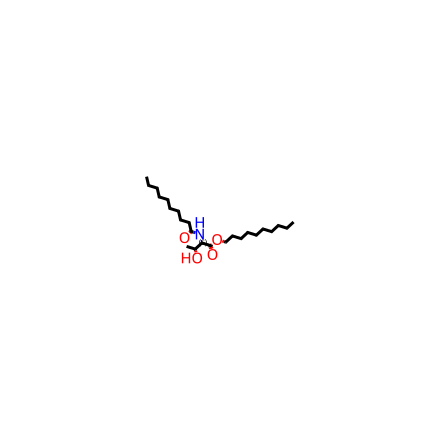 CCCCCCCCCCOC(=O)[C@@H](NC(=O)CCCCCCCCC)C(C)O